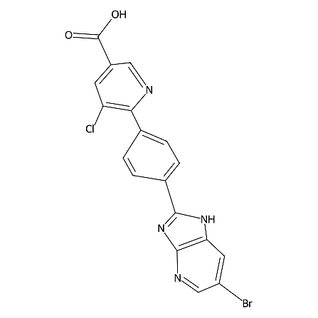 O=C(O)c1cnc(-c2ccc(-c3nc4ncc(Br)cc4[nH]3)cc2)c(Cl)c1